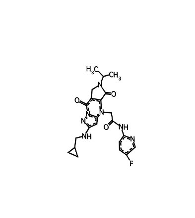 CC(C)N1Cc2c(n(CC(=O)Nc3ccc(F)cn3)c3cc(NCC4CC4)nn3c2=O)C1=O